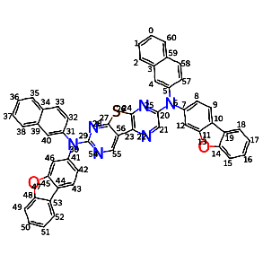 c1ccc2cc(N(c3ccc4c(c3)oc3ccccc34)c3cnc4c(n3)sc3nc(N(c5ccc6ccccc6c5)c5ccc6c(c5)oc5ccccc56)ncc34)ccc2c1